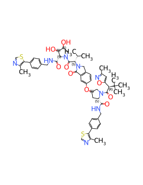 Cc1cc([C@H](C(=O)N2C[C@H](Oc3ccc4c(c3)C(=O)N([C@H](C(=O)N3C[C@H](O)[C@H](O)[C@H]3C(=O)NCc3ccc(-c5scnc5C)cc3)C(C)C)C4)C[C@H]2C(=O)NCc2ccc(-c3scnc3C)cc2)C(C)(C)C)on1